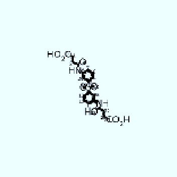 O=C(O)/C=C/C(=O)Nc1cccc(S(=O)(=O)c2cccc(NC(O)/C=C/C(=O)O)c2)c1